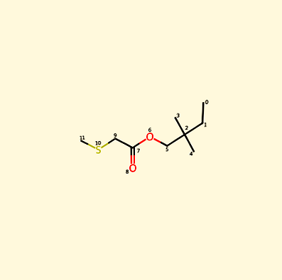 CCC(C)(C)COC(=O)CSC